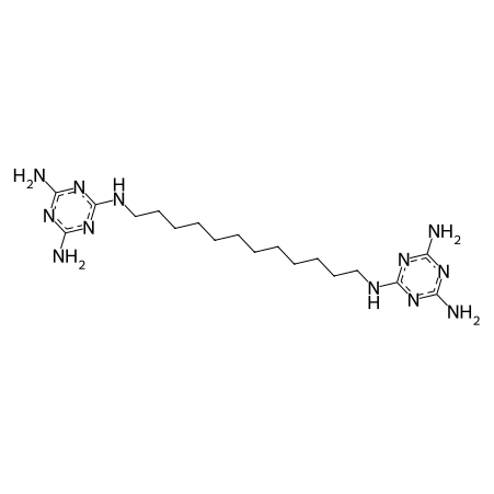 Nc1nc(N)nc(NCCCCCCCCCCCCNc2nc(N)nc(N)n2)n1